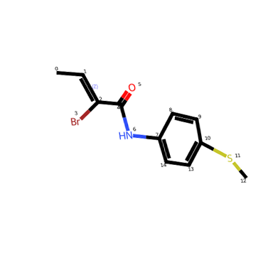 C/C=C(\Br)C(=O)Nc1ccc(SC)cc1